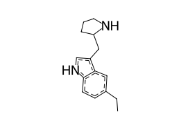 CCc1ccc2[nH]cc(CC3CCCN3)c2c1